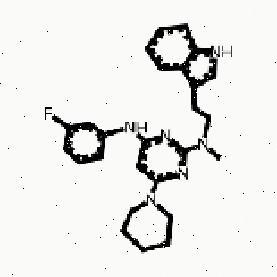 CN(CCc1c[nH]c2ccccc12)c1nc(Nc2cccc(F)c2)cc(N2CCCCC2)n1